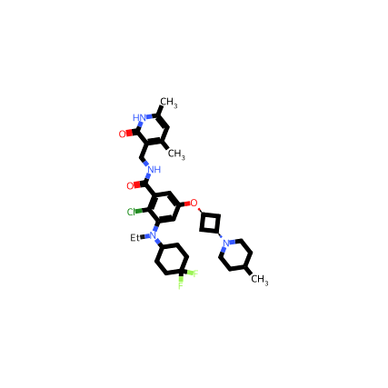 CCN(c1cc(O[C@H]2C[C@@H](N3CCC(C)CC3)C2)cc(C(=O)NCc2c(C)cc(C)[nH]c2=O)c1Cl)C1CCC(F)(F)CC1